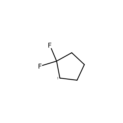 FC1(F)[C]CCC1